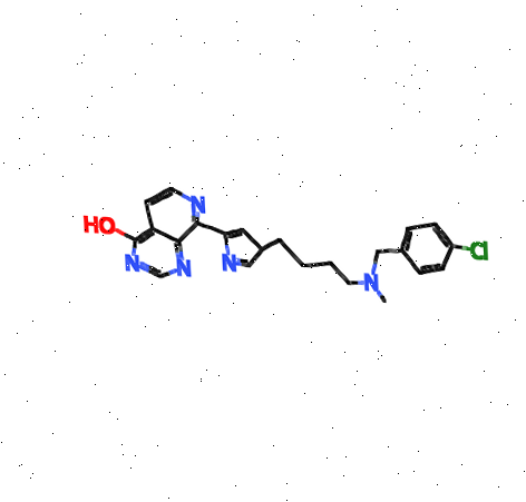 CN(CCCCC1C=NC(c2nccc3c(O)ncnc23)=C1)Cc1ccc(Cl)cc1